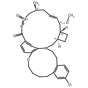 CO[C@H]1/C=C/C[C@H](C)C/[SH](=O)=N\C(=O)c2ccc3c(c2)N(CCc2ccc(Cl)cc2CCCCO3)C[C@@H]2CC[C@H]21